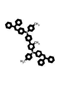 Cc1ccc(N(C2=CC(C)C(c3ccc(N(c4ccc(C)cc4)c4ccc(C=C(c5ccccc5)c5ccccc5)cc4)cc3)C=C2)C2=CC=C(C=C(c3ccccc3)c3ccccc3)CC2)cc1